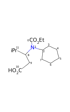 CCOC(=O)N(C1CCCCC1)C(CC(=O)O)C(C)C